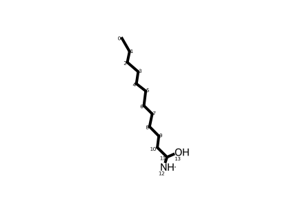 CCCCCCCCCCCC([NH])O